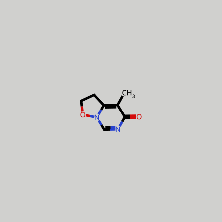 Cc1c2n(cnc1=O)OCC2